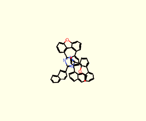 c1ccc2cc(-c3nc(-c4cccc5c4oc4ccccc45)nc(-c4cccc5oc6cccc(-c7ccc(-c8cccc9ccccc89)cc7)c6c45)n3)ccc2c1